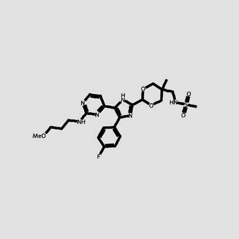 COCCCNc1nccc(-c2[nH]c(C3OCC(C)(CNS(C)(=O)=O)CO3)nc2-c2ccc(F)cc2)n1